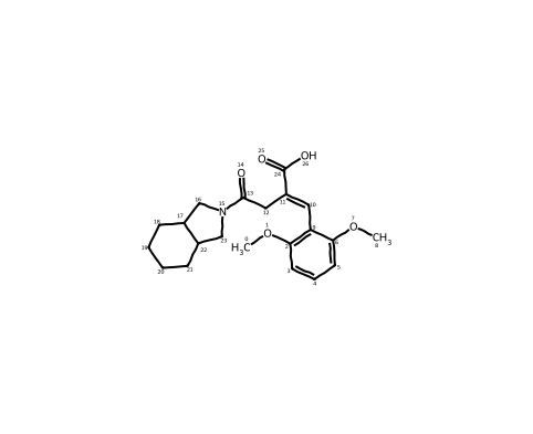 COc1cccc(OC)c1C=C(CC(=O)N1CC2CCCCC2C1)C(=O)O